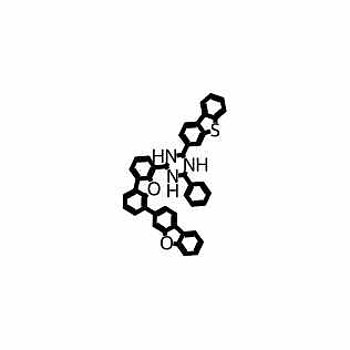 c1ccc(C2NC(c3ccc4c(c3)sc3ccccc34)NC(c3cccc4c3oc3c(-c5ccc6c(c5)oc5ccccc56)cccc34)N2)cc1